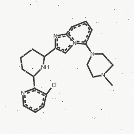 CN1CCN(c2cccc3nc(C4CCCC(c5ncccc5Cl)N4)cn23)CC1